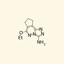 CCOc1nn2c(N)nnc2c2c1CCC2